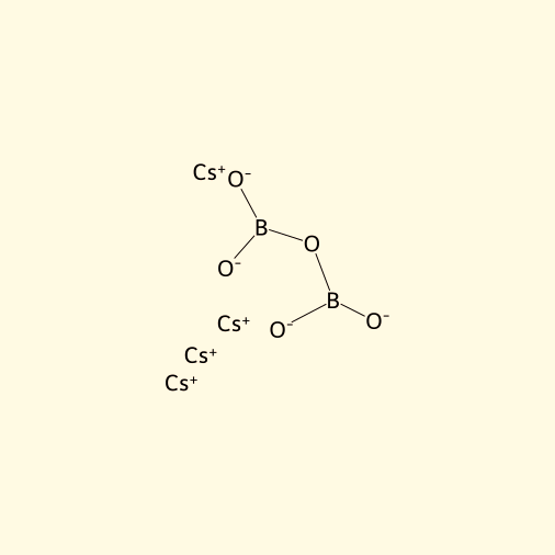 [Cs+].[Cs+].[Cs+].[Cs+].[O-]B([O-])OB([O-])[O-]